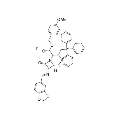 COc1ccc(COC(=O)C2=C(C[P+](c3ccccc3)(c3ccccc3)c3ccccc3)CS[C@H]3[C@H](N=Cc4ccc5c(c4)OCO5)C(=O)N23)cc1.[I-]